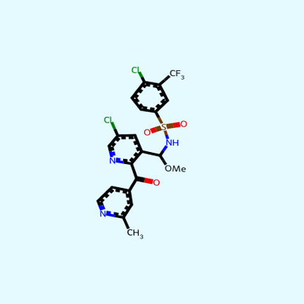 COC(NS(=O)(=O)c1ccc(Cl)c(C(F)(F)F)c1)c1cc(Cl)cnc1C(=O)c1ccnc(C)c1